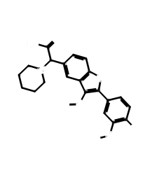 COc1cc(-c2oc3ccc(C(C(C)=O)N4CCCCC4)cc3c2SC)ccc1O